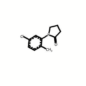 Cc1ccc(Cl)cc1N1CCCC1=O